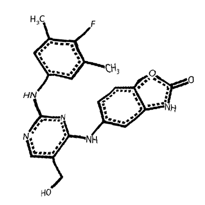 Cc1cc(Nc2ncc(CO)c(Nc3ccc4oc(=O)[nH]c4c3)n2)cc(C)c1F